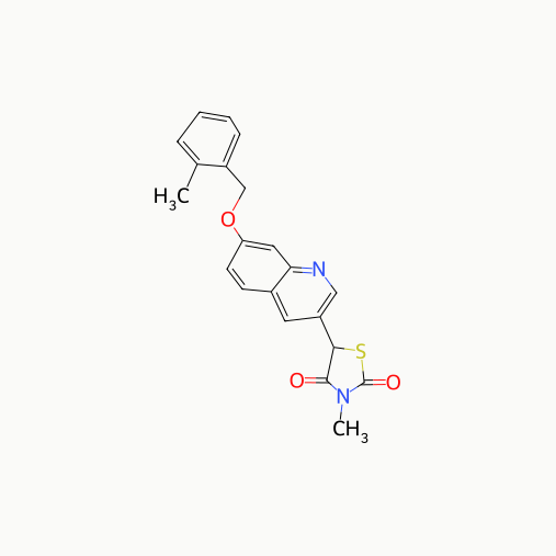 Cc1ccccc1COc1ccc2cc(C3SC(=O)N(C)C3=O)cnc2c1